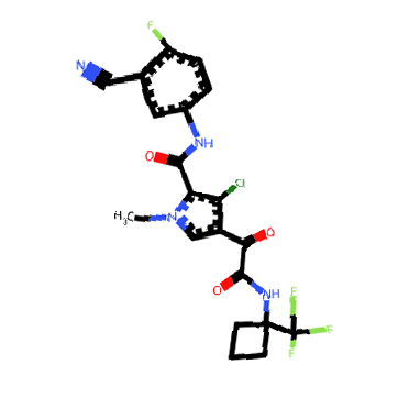 Cn1cc(C(=O)C(=O)NC2(C(F)(F)F)CCC2)c(Cl)c1C(=O)Nc1ccc(F)c(C#N)c1